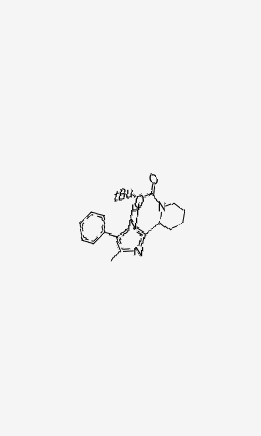 Cc1nc(C2CCCCN2C(=O)OC(C)(C)C)[nH]c1-c1ccccc1